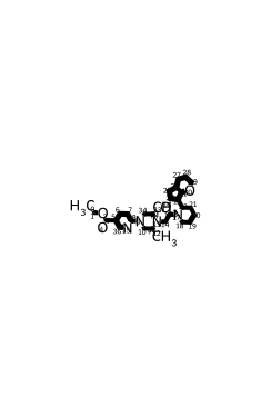 CCOC(=O)c1ccc(N2C[C@@H](C)N(CC(=O)N3CC=CCC3c3ccc4cccoc3-4)[C@@H](C)C2)nc1